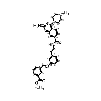 COC(=O)c1cccc(COc2cccc(CCNC(=O)c3ccc4c(N5CCN(C)CC5)nc(N)nc4c3)c2)c1